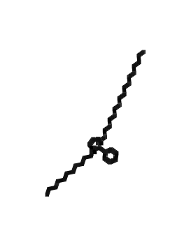 CCCCCCCCCCCCCCCCCN1C=CN(CCCCCCCCCCC)C1c1ccccc1